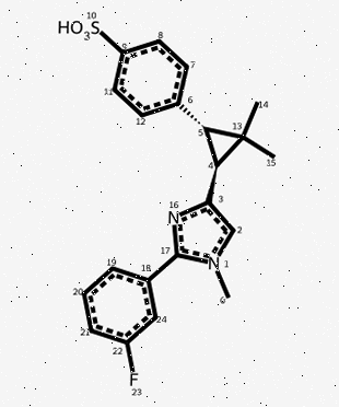 Cn1cc([C@H]2[C@H](c3ccc(S(=O)(=O)O)cc3)C2(C)C)nc1-c1cccc(F)c1